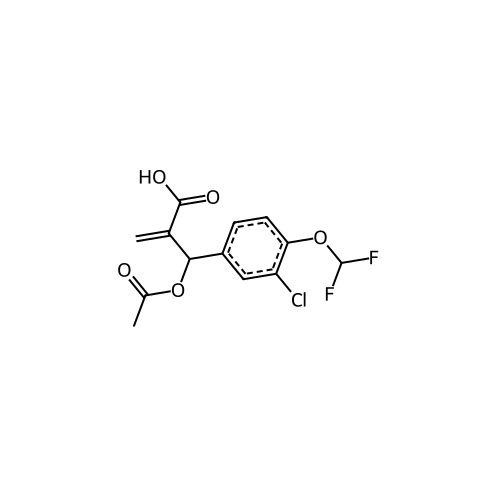 C=C(C(=O)O)C(OC(C)=O)c1ccc(OC(F)F)c(Cl)c1